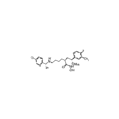 CO[C@H](C[C@H](CCCCN[C@@H](c1ccc(Cl)cn1)C(C)C)C(=O)NO)c1ccc(F)c(C)c1